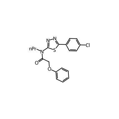 CCCN(C(=O)COc1ccccc1)c1nnc(-c2ccc(Cl)cc2)s1